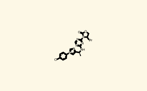 CC(C)C1COC(=O)N1c1ncnc(N[C@@H](C)c2cn(-c3ccc(Cl)cc3)cn2)n1